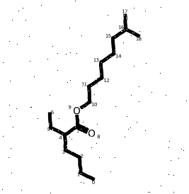 CCCCC(CC)C(=O)OCCCCCCC(C)C